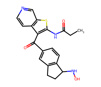 CCC(=O)Nc1sc2cnccc2c1C(=O)c1ccc2c(c1)CCC2NO